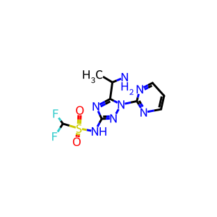 CC(N)c1nc(NS(=O)(=O)C(F)F)nn1-c1ncccn1